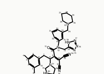 Cc1cc(C)cc(CC(C(C(=O)N(Cc2nnn[nH]2)c2cccc(CN3CCCCC3)c2)=C(C#N)C#N)N2CCNC2)c1